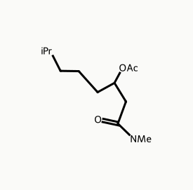 CNC(=O)CC(CCCC(C)C)OC(C)=O